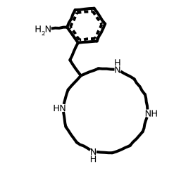 Nc1ccccc1CC1CNCCNCCCNCCNC1